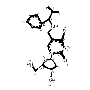 CC(C)C(OCc1cn([C@H]2C[C@@H](O)[C@@H](CO)O2)c(=O)[nH]c1=O)c1ccccc1